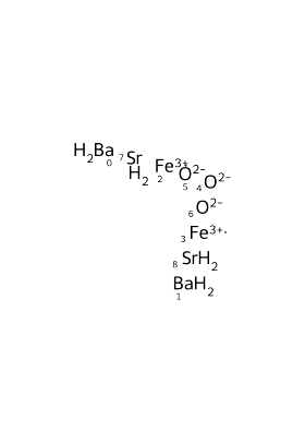 [BaH2].[BaH2].[Fe+3].[Fe+3].[O-2].[O-2].[O-2].[SrH2].[SrH2]